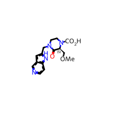 COC[C@H]1C(=O)N(Cc2cc3cnccc3[nH]2)CCN1C(=O)O